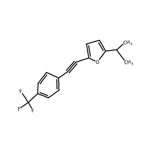 CC(C)c1ccc(C#Cc2ccc(C(F)(F)F)cc2)o1